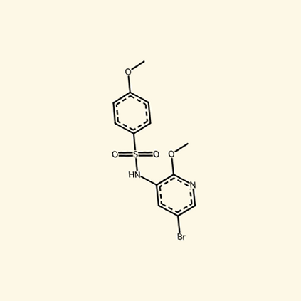 COc1ccc(S(=O)(=O)Nc2cc(Br)cnc2OC)cc1